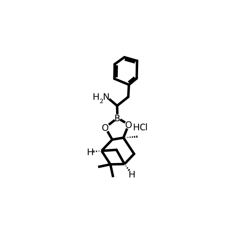 CC1(C)[C@H]2C[C@@H]1C1OB(C(N)Cc3ccccc3)O[C@@]1(C)C2.Cl